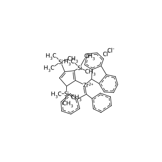 C[Si](C)(C)C1=CC([Si](C)(C)C)[C]([Zr+2](=[C](c2ccccc2)c2ccccc2)[CH]2c3ccccc3-c3ccccc32)=C1[Si](C)(C)C.[Cl-].[Cl-]